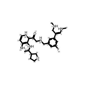 CN/C=C(\CNC)c1cc(F)cc(CNCC(=O)C2NC=CC(N)=C2NC(C)C2CCOC2)c1